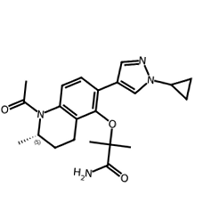 CC(=O)N1c2ccc(-c3cnn(C4CC4)c3)c(OC(C)(C)C(N)=O)c2CC[C@@H]1C